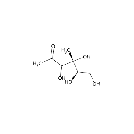 CC(=O)C(O)[C@](C)(O)[C@H](O)CO